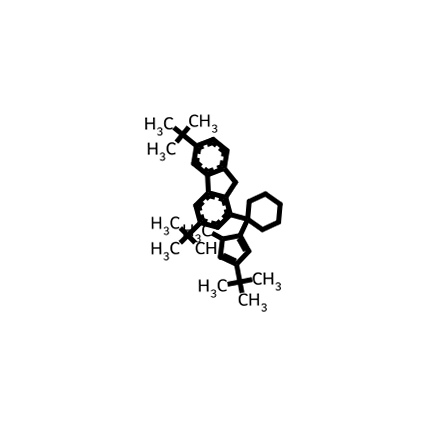 CC1C=C(C(C)(C)C)C=C1C1(c2cc(C(C)(C)C)cc3c2Cc2ccc(C(C)(C)C)cc2-3)CCCCC1